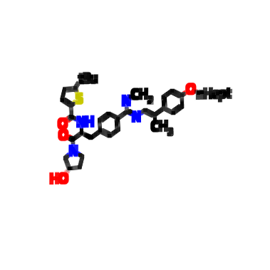 C=N/C(=N\C=C(/C)c1ccc(OCCCCCCC)cc1)c1ccc(C[C@H](NC(=O)c2ccc(C(C)(C)C)s2)C(=O)N2CC[C@H](O)C2)cc1